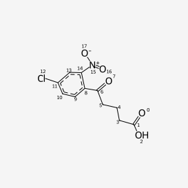 O=C(O)CCCC(=O)c1ccc(Cl)cc1[N+](=O)[O-]